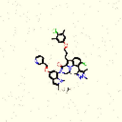 Cc1cc(OCCCc2c3n(c4c(-c5c(C)nn(C)c5C)c(Cl)ccc24)[C@H](C)CN(c2cc(OCc4cccnc4)cc4cc(C(=O)O)n(C)c24)C3=O)cc(C)c1Cl